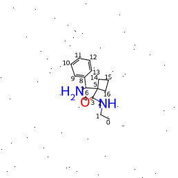 CCNC(=O)C1(C(N)c2ccccc2)CCC1